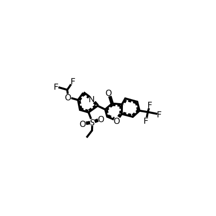 CCS(=O)(=O)c1cc(OC(F)F)cnc1-c1coc2cc(C(F)(F)F)ccc2c1=O